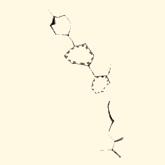 C=C(C)C(=O)NCCOc1ccc(-c2ccc(C3CCC(CCCCC)CC3)cc2)c(CC)c1